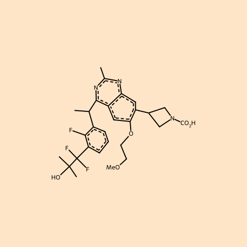 COCCOc1cc2c(C(C)c3cccc(C(F)(F)C(C)(C)O)c3F)nc(C)nc2cc1C1CN(C(=O)O)C1